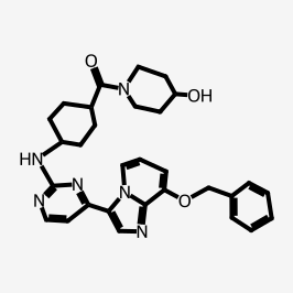 O=C(C1CCC(Nc2nccc(-c3cnc4c(OCc5ccccc5)cccn34)n2)CC1)N1CCC(O)CC1